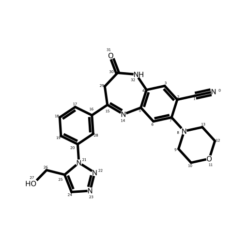 N#Cc1cc2c(cc1N1CCOCC1)N=C(c1cccc(-n3nncc3CO)c1)CC(=O)N2